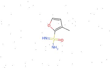 Cc1ccoc1S(=N)(N)=O